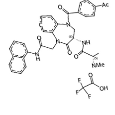 CN[C@@H](C)C(=O)N[C@H]1CN(C(=O)c2ccc(C(C)=O)cc2)c2ccccc2N(CC(=O)Nc2cccc3ccccc23)C1=O.O=C(O)C(F)(F)F